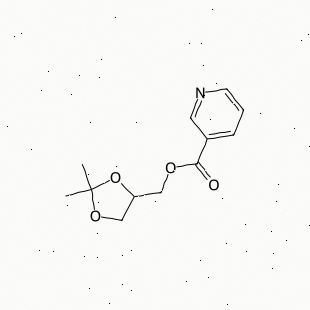 CC1(C)OCC(COC(=O)c2cccnc2)O1